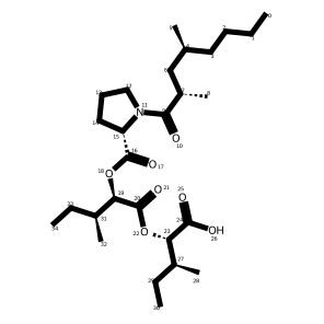 CCCC[C@H](C)C[C@H](C)C(=O)N1CCC[C@H]1C(=O)O[C@@H](C(=O)O[C@H](C(=O)O)[C@@H](C)CC)[C@@H](C)CC